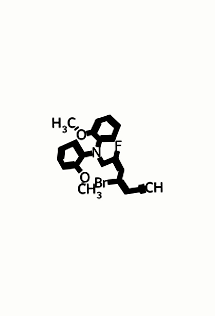 C#C/C=C(Br)\C=C(\F)CN(c1ccccc1OC)c1ccccc1OC